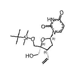 C=C[C@H]1C[C@H](n2ccc(=O)[nH]c2=O)O[C@]1(CO)CO[Si](C)(C)C(C)(C)C